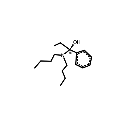 CCCCN(CCCC)[C@](O)(CC)c1ccccc1